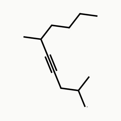 [CH2]C(C)CC#CC(C)CCCC